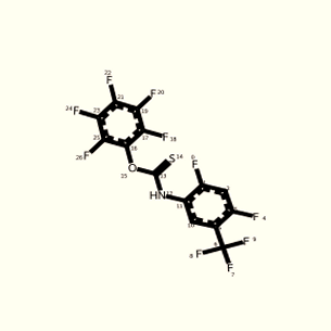 Fc1cc(F)c(C(F)(F)F)cc1NC(=S)Oc1c(F)c(F)c(F)c(F)c1F